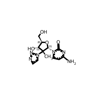 C[C@@]1(n2ccnn2)[C@H](O)[C@@H](CO)O[C@@H]1n1ccc(N)nc1=O